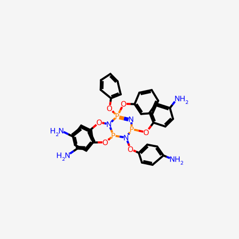 Nc1ccc(ON2P(Oc3ccc(N)cc3)N=P(Oc3ccccc3)(Oc3ccccc3)N(Oc3ccc(N)cc3)P2Oc2ccc(N)cc2)cc1